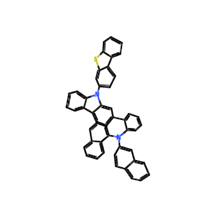 c1ccc(N(c2ccc3ccccc3c2)c2cccc3ccccc23)c(-c2ccc3c4ccccc4n(-c4ccc5c(c4)sc4ccccc45)c3c2)c1